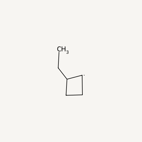 CCC1[CH]CC1